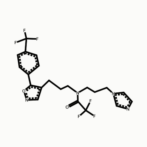 O=C(N(CCCc1cnoc1-c1ccc(C(F)(F)F)cc1)CCCn1ccnc1)C(F)(F)F